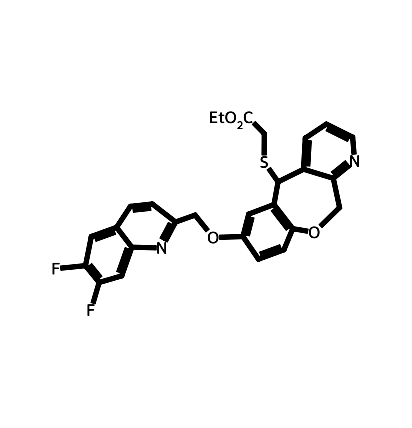 CCOC(=O)CSC1c2cc(OCc3ccc4cc(F)c(F)cc4n3)ccc2OCc2ncccc21